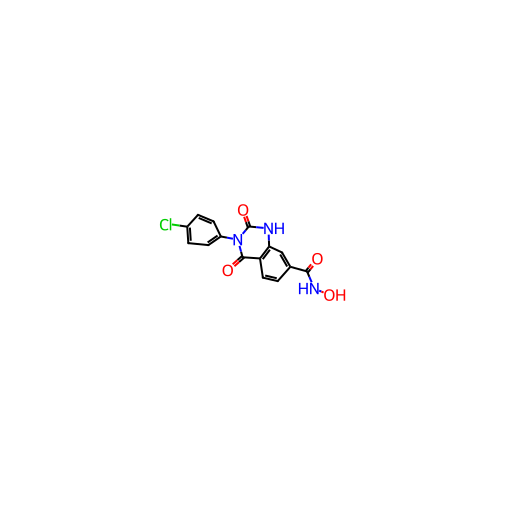 O=C(NO)c1ccc2c(=O)n(-c3ccc(Cl)cc3)c(=O)[nH]c2c1